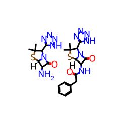 CC1(C)S[C@@H]2C(N)C(=O)N2C1c1nnn[nH]1.CC1(C)S[C@@H]2C(NC(=O)Cc3ccccc3)C(=O)N2C1c1nnn[nH]1